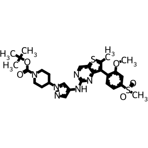 COc1cc(S(C)(=O)=O)ccc1-c1c(C)sc2cnc(Nc3cnn(C4CCN(C(=O)OC(C)(C)C)CC4)c3)nc12